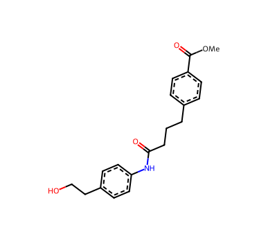 COC(=O)c1ccc(CCCC(=O)Nc2ccc(CCO)cc2)cc1